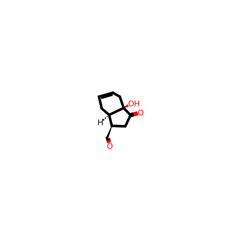 O=C[C@@H]1CC(=O)[C@@]2(O)CC=CC[C@H]12